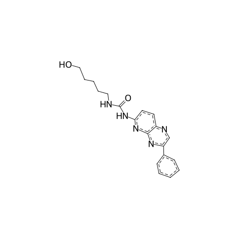 O=C(NCCCCCO)Nc1ccc2ncc(-c3ccccc3)nc2n1